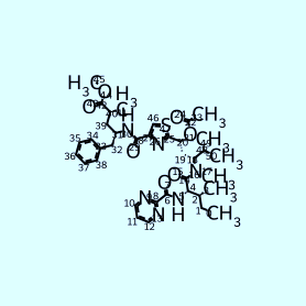 CC[C@H](C)[C@H](NC(=O)c1ncccn1)C(=O)N(C)[C@H](C[C@@H](OC(C)=O)c1nc(C(=O)N[C@@H](Cc2ccccc2)C[C@H](C)C(=O)OC)cs1)C(C)C